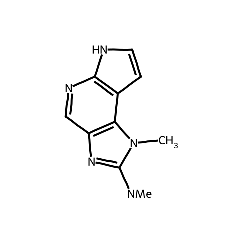 CNc1nc2cnc3[nH]ccc3c2n1C